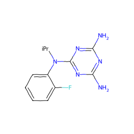 CC(C)N(c1nc(N)nc(N)n1)c1ccccc1F